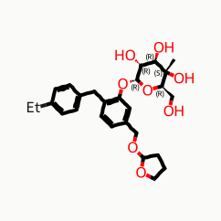 CCc1ccc(Cc2ccc(COC3CCCO3)cc2O[C@H]2O[C@H](CO)[C@@](C)(O)[C@H](O)[C@H]2O)cc1